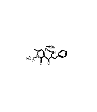 CC(C)(C)C.CCNC(Cc1ccccc1)C(=O)c1ccc(C)n(C(=O)O)c1=O